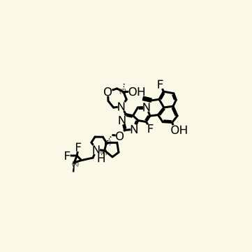 C#Cc1c(F)ccc2cc(O)cc(-c3ncc4c(N5CCOC[C@@](C)(O)C5)nc(OC[C@]56CCC[C@H]5N(CC5[C@@H](C)C5(F)F)CCC6)nc4c3F)c12